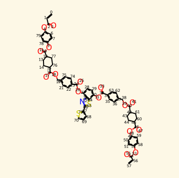 C=CC(=O)Oc1ccc(OC(=O)C2CCC(C(=O)OCc3ccc(C(=O)Oc4ccc(OC(=O)c5ccc(COC(=O)C6CCC(C(=O)Oc7ccc(OC(=O)C=C)cc7)CC6)cc5)c5sc(-c6cccs6)nc45)cc3)CC2)cc1